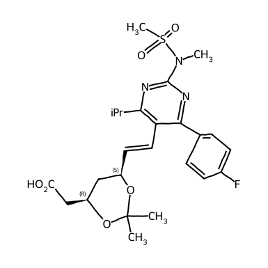 CC(C)c1nc(N(C)S(C)(=O)=O)nc(-c2ccc(F)cc2)c1C=C[C@@H]1C[C@H](CC(=O)O)OC(C)(C)O1